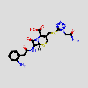 NC(=O)Cn1nnnc1SCC1=C(C(=O)O)N2C(=O)C(NC(=O)Cc3ccccc3N)[C@H]2SC1